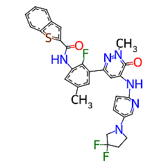 Cc1cc(NC(=O)c2cc3ccccc3s2)c(F)c(-c2cc(Nc3ccc(N4CCC(F)(F)C4)cn3)c(=O)n(C)n2)c1